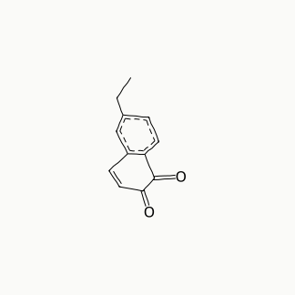 CCc1ccc2c(c1)C=CC(=O)C2=O